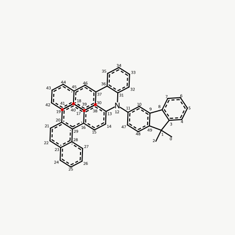 CC1(C)c2ccccc2-c2cc(N(c3ccc4c(ccc5ccc6ccccc6c54)c3)c3ccccc3-c3ccc4ccccc4c3)ccc21